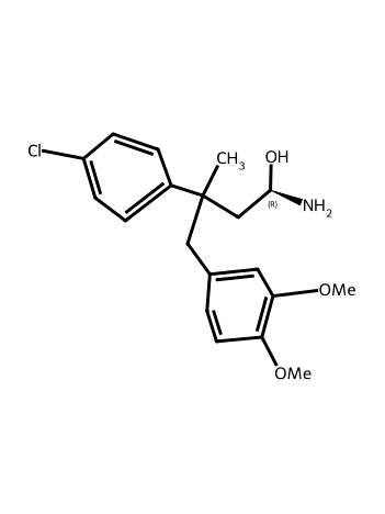 COc1ccc(CC(C)(C[C@H](N)O)c2ccc(Cl)cc2)cc1OC